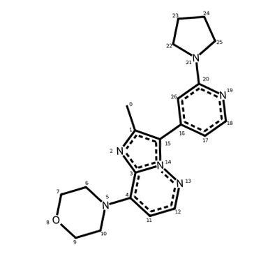 Cc1nc2c(N3CCOCC3)ccnn2c1-c1ccnc(N2CCCC2)c1